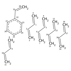 C=CC=C.C=CC=C.C=CC=C.C=CC=C.C=CC=C.C=Cc1ccccc1